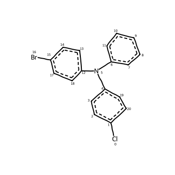 Clc1ccc(N(c2ccccc2)c2ccc(Br)cc2)cc1